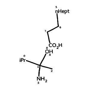 CC(C)C(C)(N)O.CCCCCCCCCC(=O)O